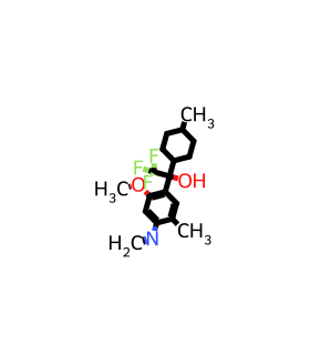 C=Nc1cc(OC)c(C(O)(C2CCC(C)CC2)C(F)(F)F)cc1C